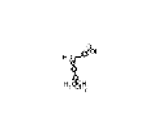 CC(CCc1ccc(C(=O)O)cc1)COc1ccc(-c2ccc(C(C)(C)C)cc2)cc1